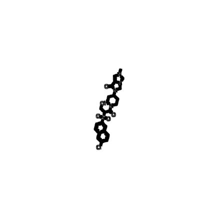 CN1C=C2C(=O)N(C3CCN(C(=O)C(CO)S(=O)(=O)c4ccc5cc(Cl)ccc5c4)CC3)CN2C1